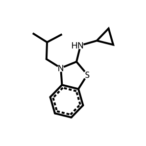 CC(C)CN1c2ccccc2SC1NC1CC1